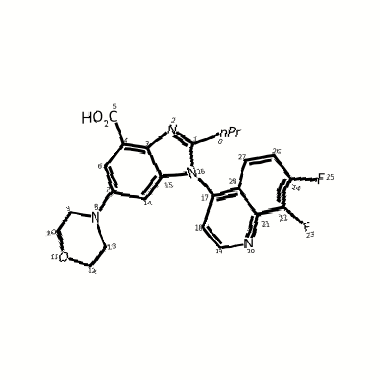 CCCc1nc2c(C(=O)O)cc(N3CCOCC3)cc2n1-c1ccnc2c(F)c(F)ccc12